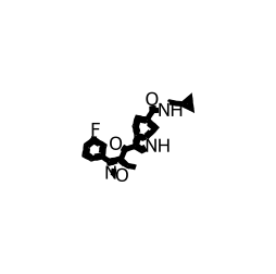 Cc1onc(-c2cccc(F)c2)c1C(=O)c1c[nH]c2cc(C(=O)NCC3CC3)ccc12